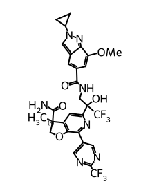 COc1cc(C(=O)NCC(O)(c2cc3c(c(-c4cnc(C(F)(F)F)nc4)n2)OC[C@]3(C)C(N)=O)C(F)(F)F)cc2cn(C3CC3)nc12